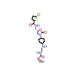 CC(C)(C)OC(=O)NCCNc1ccc(N2C[C@H](CNC(=O)c3ccc(Cl)s3)OC2=O)cc1